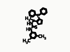 Cc1cc(C)cc(NC(=S)N[C@H](C)C2=C(P(c3ccccc3)c3ccccc3)C=CC2)c1